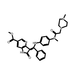 COC(=O)c1cnc2c(c1)NC(=O)C2=C(Nc1ccc(N(C)C(=O)CN2CCN(C)CC2)cc1)c1ccccc1